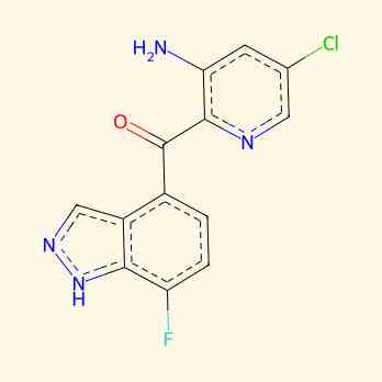 Nc1cc(Cl)cnc1C(=O)c1ccc(F)c2[nH]ncc12